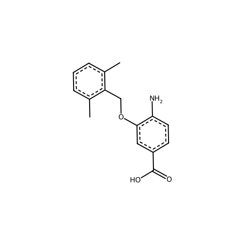 Cc1cccc(C)c1COc1cc(C(=O)O)ccc1N